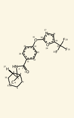 O=C(N[C@H]1CN2CCC1CC2)c1ccc(Oc2ncc(C(F)(F)F)o2)cc1